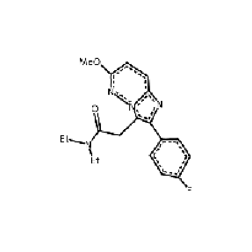 CCN(CC)C(=O)Cc1c(-c2ccc(F)cc2)nc2ccc(OC)nn12